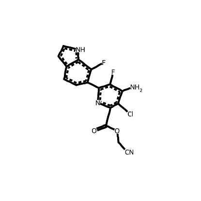 N#CCOC(=O)c1nc(-c2ccc3cc[nH]c3c2F)c(F)c(N)c1Cl